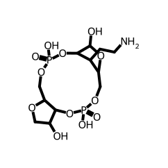 NCCC1C2COP(=O)(O)OC3C(O)COC3COP(=O)(O)OC1C(O)O2